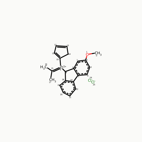 COc1ccc2c(c1)[CH]([Zr+2]([C]1=CC=CC1)=[C](C)C)c1ccccc1-2.[Cl-].[Cl-]